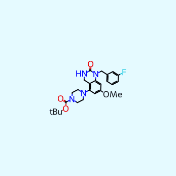 COc1cc(N2CCN(C(=O)OC(C)(C)C)CC2)c2c(c1)N(Cc1cccc(F)c1)C(=O)NC2